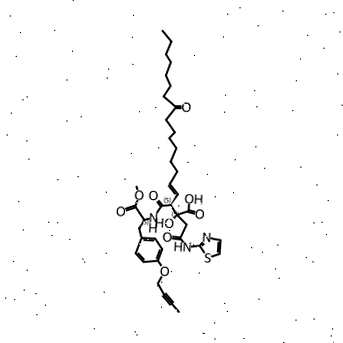 CC#CCOc1ccc(C[C@H](NC(=O)[C@@H](C=CCCCCCCC(=O)CCCCCCC)[C@@](O)(CC(=O)Nc2nccs2)C(=O)O)C(=O)OC)cc1